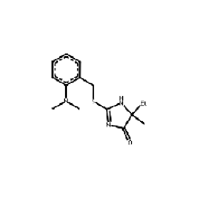 CCC1(C)NC(SCc2ccccc2N(C)C)=NC1=O